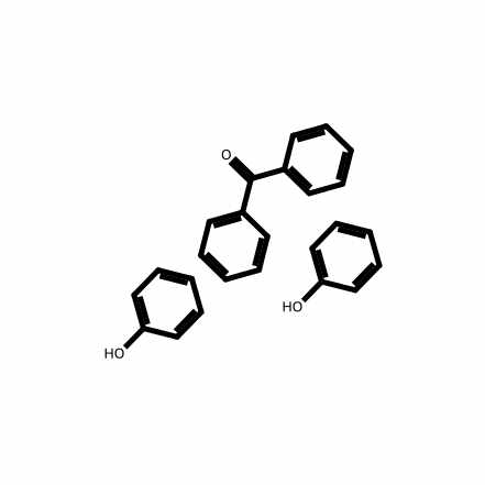 O=C(c1ccccc1)c1ccccc1.Oc1ccccc1.Oc1ccccc1